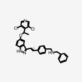 CC(Oc1ccc2[nH]nc(/C=C/c3ccc(CNCc4ccccc4)cc3)c2c1)c1c(Cl)cncc1Cl